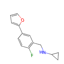 Fc1ccc(-c2ccco2)cc1CNC1CC1